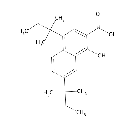 CCC(C)(C)c1ccc2c(C(C)(C)CC)cc(C(=O)O)c(O)c2c1